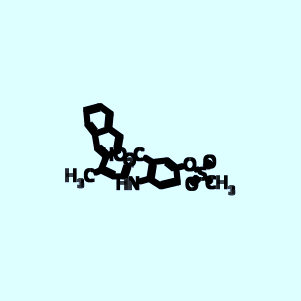 C/C(=C/C(=O)Nc1ccc(OS(C)(=O)=O)cc1C(=O)O)c1ccc2ccccc2c1